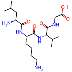 CC(C)C[C@H](N)C(=O)N[C@@H](CCCCN)C(=O)N[C@H](C(=O)NCC(=O)O)C(C)C